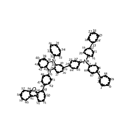 c1ccc(-c2ccc(N(c3ccc(-c4ccccc4)cc3)c3ccc(-c4ccc5c(c4)N(c4ccccc4)c4ccccc4N5c4ccc(-c5cccc6c5oc5ccccc56)cc4)cc3)cc2)cc1